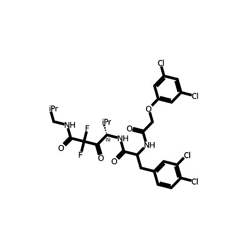 CC(C)CNC(=O)C(F)(F)C(=O)[C@@H](NC(=O)C(Cc1ccc(Cl)c(Cl)c1)NC(=O)COc1cc(Cl)cc(Cl)c1)C(C)C